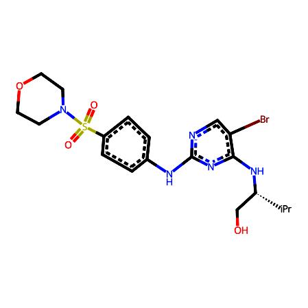 CC(C)[C@H](CO)Nc1nc(Nc2ccc(S(=O)(=O)N3CCOCC3)cc2)ncc1Br